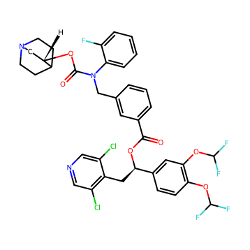 O=C(O[C@H](Cc1c(Cl)cncc1Cl)c1ccc(OC(F)F)c(OC(F)F)c1)c1cccc(CN(C(=O)O[C@H]2CN3CCC2CC3)c2ccccc2F)c1